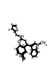 Cn1cc(C(CC(=O)NCc2ccco2)c2cccc(F)c2)c2ccccc21